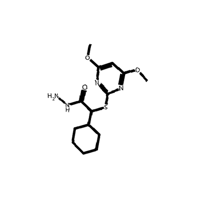 COc1cc(OC)nc(SC(C(=O)NN)C2CCCCC2)n1